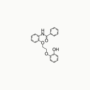 O=C(Nc1ccccc1OCCOc1ccccc1O)c1ccccc1